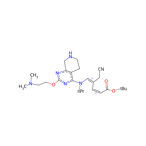 CCCN(/C=C(\C=C/C(=O)OC(C)(C)C)CC#N)c1nc(OCCN(C)C)nc2c1CCNC2